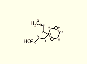 C=CCC1(CCCO)COCCO1